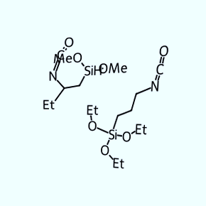 CCC(C[SiH](OC)OC)N=C=O.CCO[Si](CCCN=C=O)(OCC)OCC